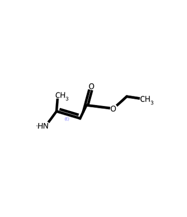 CCOC(=O)/C=C(\C)[NH]